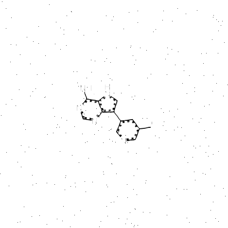 Cc1cncc(-c2c[nH]c3c(N)ncnc23)c1